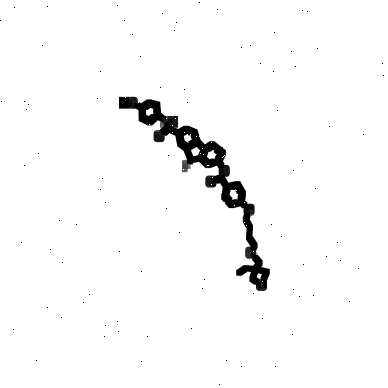 CCC1(COCCCCOc2ccc(C(=O)Oc3ccc4c(c3)C(F)c3cc(C(=O)Nc5ccc(O)cc5)ccc3-4)cc2)COC1